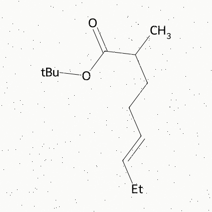 CCC=CCCC(C)C(=O)OC(C)(C)C